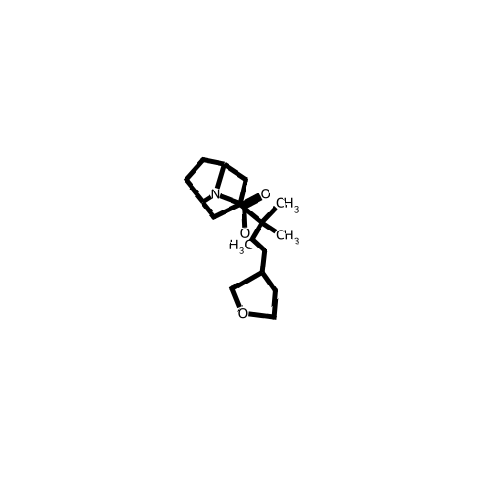 CC(C)(C)C1CC2CCC(C1)N2C(=O)OCC1CCOC1